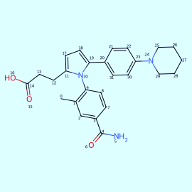 Cc1cc(C(N)=O)ccc1-n1c(CCC(=O)O)ccc1-c1ccc(N2CCCCC2)cc1